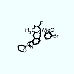 COc1cc(Br)ccc1[C@@H]1c2ccc3nn(C4CCCCO4)cc3c2C[C@@H](C)N1CC(F)F